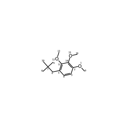 COc1ccc(CC(C)(C)C)c(OC)c1OC